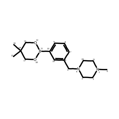 CN1CCN(Cc2cccc(B3OCC(C)(C)CO3)c2)CC1